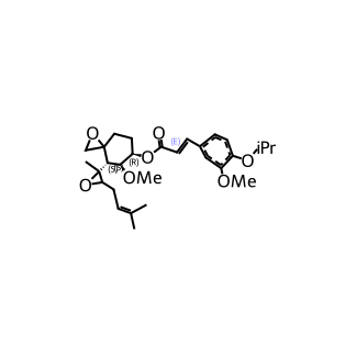 COc1cc(/C=C/C(=O)O[C@@H]2CCC3(CO3)[C@@H](C3(C)OC3CC=C(C)C)[C@@H]2OC)ccc1OC(C)C